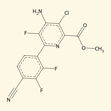 COC(=O)c1nc(-c2ccc(C#N)c(F)c2F)c(F)c(N)c1Cl